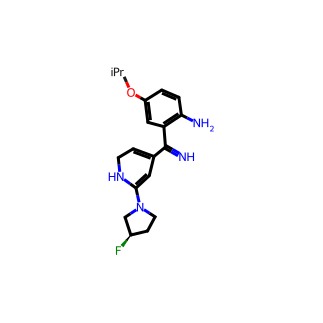 CC(C)Oc1ccc(N)c(C(=N)C2=CCNC(N3CC[C@@H](F)C3)=C2)c1